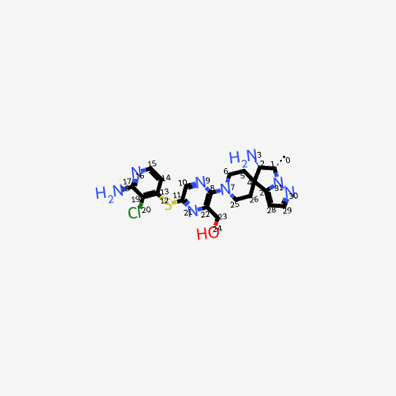 C[C@H]1[C@@H](N)C2(CCN(c3ncc(Sc4ccnc(N)c4Cl)nc3CO)CC2)c2ccnn21